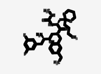 CCCCC1(C[C@@H](NC(=O)NC)C(=O)N(Cc2cccc(CC)c2)C[C@@H](O)[C@@H](N)Cc2cc(F)cc(F)c2)OCCCO1